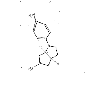 CN1C[C@@H]2CCN(c3ccc(N)cc3)[C@@H]2C1